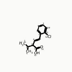 CC(C)C(/C=C/c1ccccc1Cl)C(=O)O